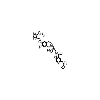 Cc1ncoc1COc1cc2c(cc1F)CN(C[C@@H](O)CNC(=O)c1ccnc(NC3CCC3)c1)CC2